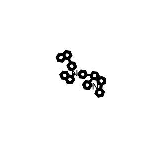 c1ccc(-c2ccccc2-n2c3ccccc3c3ccccc32)c(-c2ccc(N(c3ccc(-c4cccc5ccccc45)cc3)c3cccc4ccccc34)cc2)c1